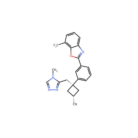 Cn1cnnc1C[C@]1(c2cccc(-c3nc4cccc(C(F)(F)F)c4o3)c2)C[C@H](C#N)C1